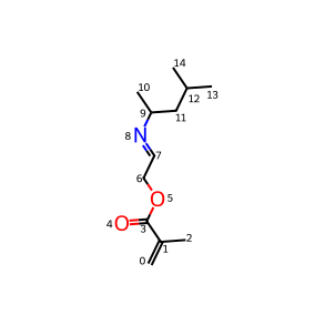 C=C(C)C(=O)OCC=NC(C)CC(C)C